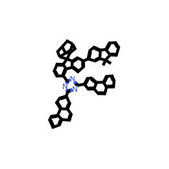 CC1(C)c2ccccc2-c2ccc(-c3ccc4c(c3)C3(c5cccc(-c6nc(-c7ccc8c(ccc9ccccc98)c7)nc(-c7ccc8c(ccc9ccccc98)c7)n6)c5-4)C4CC5CC(C4)CC3C5)cc21